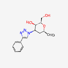 O=C[C@H]1C[C@@H](n2cc(-c3ccccc3)nn2)[C@@H](O)[C@@H](CO)O1